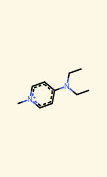 CCN(CC)c1cc[n+](C)cc1